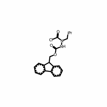 CC(C)CN(NC(=O)OCC1c2ccccc2-c2ccccc21)C(=O)Cl